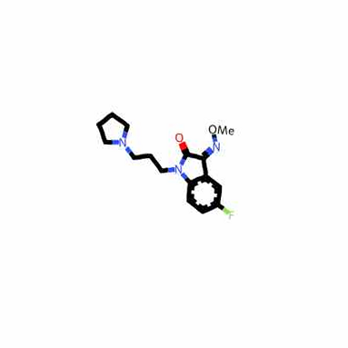 CON=C1C(=O)N(CCCN2CCCC2)c2ccc(F)cc21